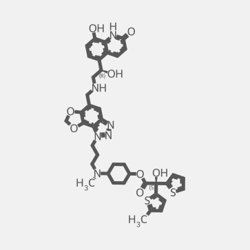 Cc1ccc([C@](O)(C(=O)OC2CCC(N(C)CCCn3nnc4cc(CNC[C@H](O)c5ccc(O)c6[nH]c(=O)ccc56)c5c(c43)OCO5)CC2)c2cccs2)s1